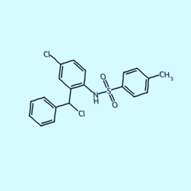 Cc1ccc(S(=O)(=O)Nc2ccc(Cl)cc2C(Cl)c2ccccc2)cc1